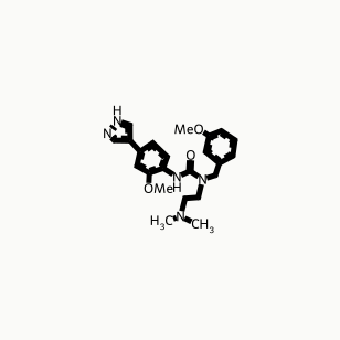 COc1cccc(CN(CCN(C)C)C(=O)Nc2ccc(-c3cn[nH]c3)cc2OC)c1